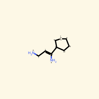 NCC=C(N)C1CCCCC1